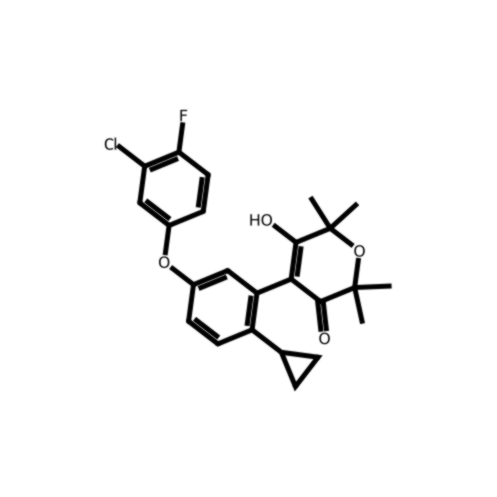 CC1(C)OC(C)(C)C(O)=C(c2cc(Oc3ccc(F)c(Cl)c3)ccc2C2CC2)C1=O